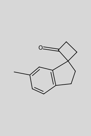 Cc1ccc2c(c1)C1(CCC1=O)CC2